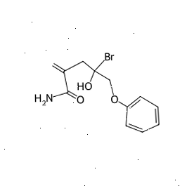 C=C(CC(O)(Br)COc1ccccc1)C(N)=O